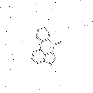 O=C1c2ccccc2-c2cncc3scc1c23